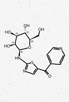 O=C(c1ccncc1)c1cnc(N[C@@H]2O[C@H](CO)[C@@H](O)[C@H](O)[C@@H]2O)s1